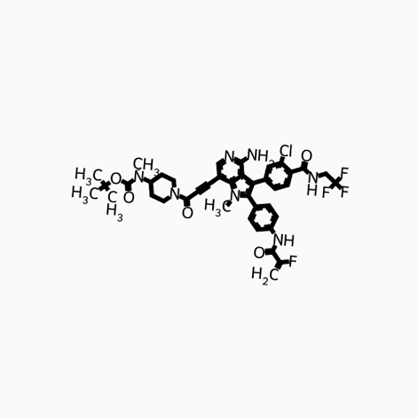 C=C(F)C(=O)Nc1ccc(-c2c(-c3ccc(C(=O)NCC(F)(F)F)c(Cl)c3)c3c(N)ncc(C#CC(=O)N4CCC(N(C)C(=O)OC(C)(C)C)CC4)c3n2C)cc1